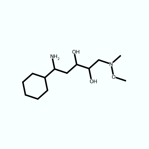 CON(C)CC(O)C(O)CC(N)C1CCCCC1